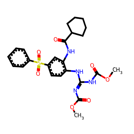 COC(=O)N=C(NC(=O)OC)Nc1ccc(S(=O)(=O)c2ccccc2)cc1NC(=O)C1CCCCC1